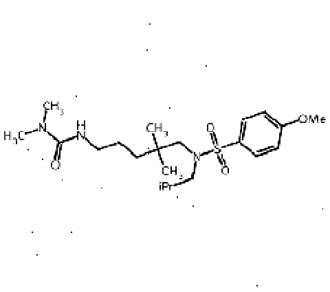 COc1ccc(S(=O)(=O)N(CC(C)C)CC(C)(C)CCCNC(=O)N(C)C)cc1